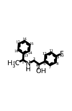 CC(NC[C@@H](O)c1ccc(F)cc1)c1ccccc1